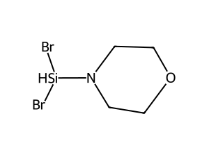 Br[SiH](Br)N1CCOCC1